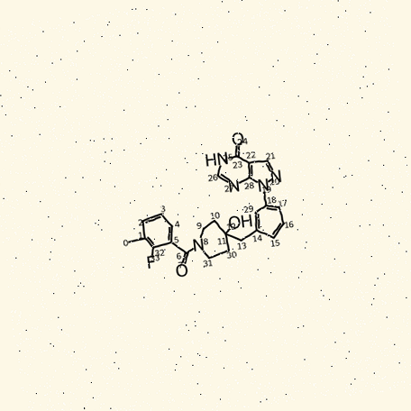 Cc1cccc(C(=O)N2CCC(O)(Cc3cccc(-n4ncc5c(=O)[nH]cnc54)c3)CC2)c1F